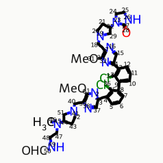 COc1nc(-c2cccc(-c3cccc(-c4cnc(CN5CCC(N6CCNC6=O)C5)c(OC)n4)c3Cl)c2Cl)cnc1CN1CCC(N(C)CCNC=O)C1